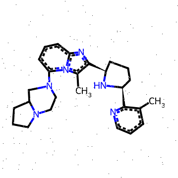 Cc1cccnc1[C@@H]1CCC[C@H](c2nc3cccc(N4CCN5CCCC5C4)n3c2C)N1